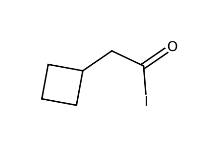 O=C(I)CC1CCC1